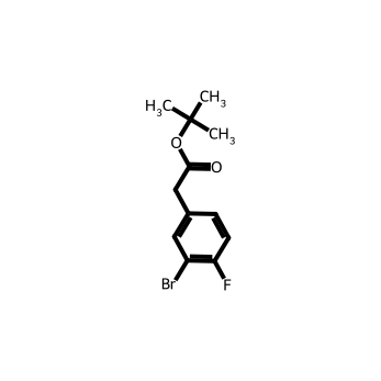 CC(C)(C)OC(=O)Cc1ccc(F)c(Br)c1